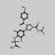 CSc1ccc(C(=O)[C@@H]2CN(C(=O)OC(C)C)C[C@H]2c2cc(C)c(OC(C)(C)C(=O)O)c(C)c2)cc1